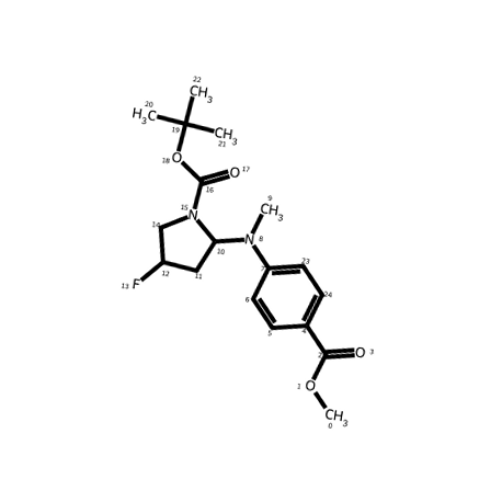 COC(=O)c1ccc(N(C)C2CC(F)CN2C(=O)OC(C)(C)C)cc1